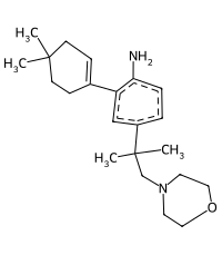 CC1(C)CC=C(c2cc(C(C)(C)CN3CCOCC3)ccc2N)CC1